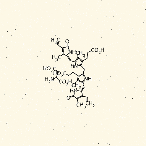 C=CC1=C(C)/C(=C/c2[nH]c(Cc3[nH]c(/C=C4\NC(=O)C(C)=C4C=C)c(C)c3CCC(=O)O)c(CCC(=O)O)c2C)NC1=O.NC(CC(=O)O)C(=O)O